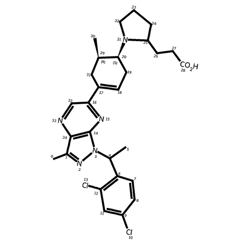 Cc1nn(C(C)c2ccc(Cl)cc2Cl)c2nc(C3=CC[C@H](N4CCCC4CCC(=O)O)[C@H](C)C3)cnc12